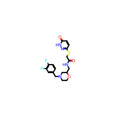 O=C(CSc1ccc(=O)[nH]n1)NCC1CN(Cc2ccc(F)c(F)c2)CCO1